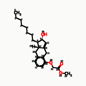 CCCCCCCC[C@H]1[C@H](O)C=C2Cc3c(cccc3OCC(=O)OC)C[C@@H]21